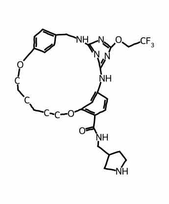 O=C(NCC1CCNC1)c1ccc2cc1OCCCCCCOc1ccc(cc1)CNc1nc(nc(OCC(F)(F)F)n1)N2